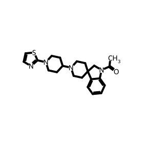 CC(=O)N1CC2(CCN(C3CCN(c4nccs4)CC3)CC2)c2ccccc21